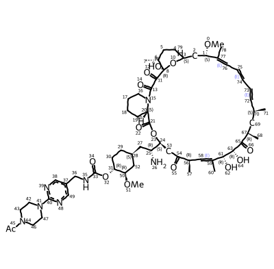 CO[C@H]1C[C@@H]2CC[C@@H](C)[C@@](O)(O2)C(=O)C(=O)N2CCCC[C@H]2C(=O)O[C@H]([C@H](N)C[C@@H]2CC[C@@H](OC(=O)NCc3cnc(N4CCN(C(C)=O)CC4)nc3)[C@H](OC)C2)CC(=O)[C@H](C)/C=C(\C)[C@@H](O)[C@@H](O)C(=O)[C@H](C)C[C@H](C)/C=C/C=C/C=C/1C